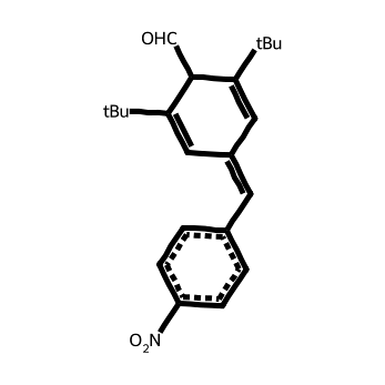 CC(C)(C)C1=CC(=Cc2ccc([N+](=O)[O-])cc2)C=C(C(C)(C)C)C1C=O